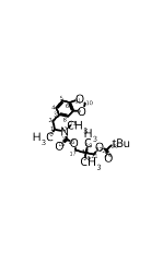 CC(Cc1ccc2c(c1)OCO2)N(C)C(=O)OCC(C)(C)COC(=O)C(C)(C)C